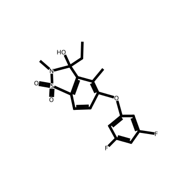 CCC1(O)c2c(ccc(Oc3cc(F)cc(F)c3)c2C)S(=O)(=O)N1C